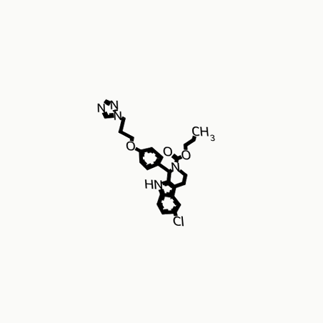 CCCOC(=O)N1CCc2c([nH]c3ccc(Cl)cc23)C1c1ccc(OCCCn2cncn2)cc1